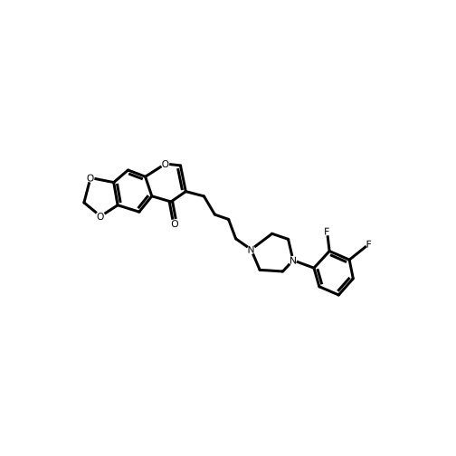 O=c1c(CCCCN2CCN(c3cccc(F)c3F)CC2)coc2cc3c(cc12)OCO3